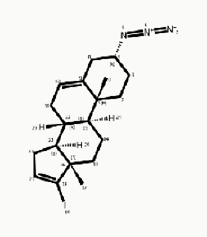 C[C@]12CC[C@@H](N=[N+]=[N-])CC1=CC[C@@H]1[C@@H]2CC[C@]2(C)C(I)=CC[C@@H]12